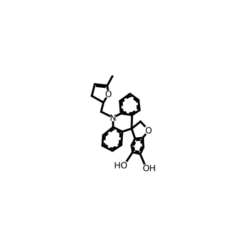 CC1=CCC(CN2c3ccccc3C3(COc4cc(O)c(O)cc43)c3ccccc32)O1